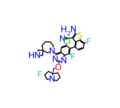 N#Cc1c(N)sc2c(F)ccc(-c3c(Cl)cc4c(N5CCCCC6(CNC6)C5)nc(OC[C@@]56CCCN5C[C@H](F)C6)nc4c3F)c12